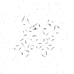 c1ccc(-n2c3ccccc3c3c2ccc2c4ccc(S(c5ccccc5)(c5ccccc5)c5ccccc5)cc4n(-c4nc(-c5cccc(S(c6ccccc6)(c6ccccc6)c6ccccc6)c5)nc(-n5c6ccccc6c6cc(S(c7ccccc7)(c7ccccc7)c7ccccc7)ccc65)n4)c23)cc1